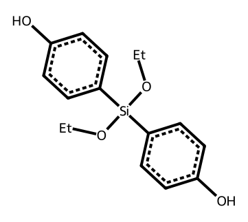 CCO[Si](OCC)(c1ccc(O)cc1)c1ccc(O)cc1